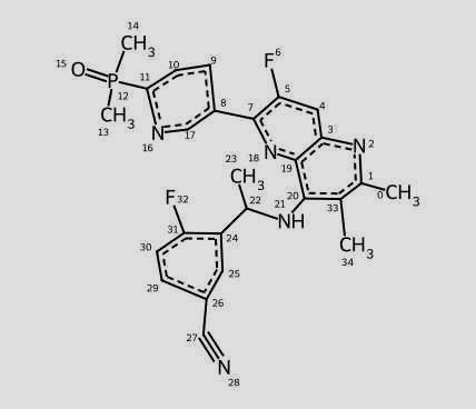 Cc1nc2cc(F)c(-c3ccc(P(C)(C)=O)nc3)nc2c(NC(C)c2cc(C#N)ccc2F)c1C